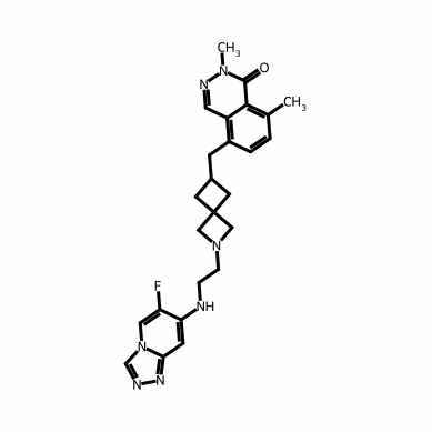 Cc1ccc(CC2CC3(C2)CN(CCNc2cc4nncn4cc2F)C3)c2cnn(C)c(=O)c12